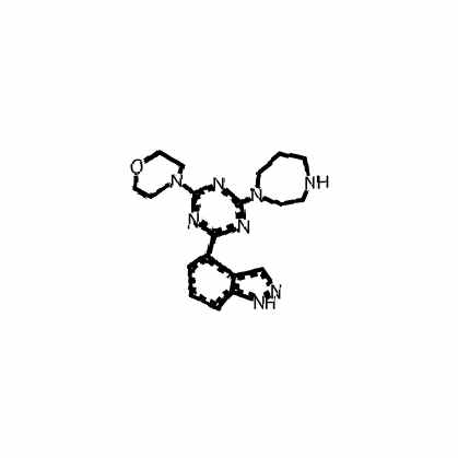 c1cc(-c2nc(N3CCCNCC3)nc(N3CCOCC3)n2)c2cn[nH]c2c1